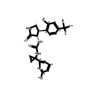 O=C(N[C@@H]1C(=O)NC[C@H]1c1ccc(C(F)(F)F)cc1F)NC1(c2cccc(Cl)n2)CC1